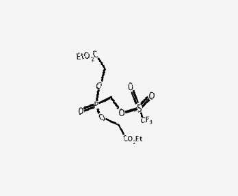 CCOC(=O)COP(=O)(COS(=O)(=O)C(F)(F)F)OCC(=O)OCC